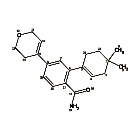 CC1(C)CC=C(c2cc(C3=CCOCC3)ccc2C(N)=O)CC1